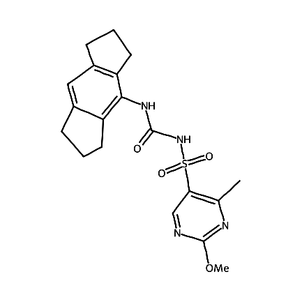 COc1ncc(S(=O)(=O)NC(=O)Nc2c3c(cc4c2CCC4)CCC3)c(C)n1